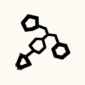 c1ccc(CN(Cc2ccccc2)C2CCC(c3c[nH]nn3)CC2)cc1